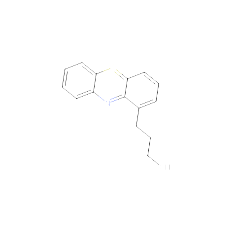 CCCCc1cccc2[s+]c3ccccc3nc12